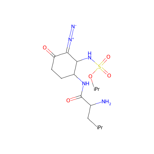 CC(C)CC(N)C(=O)NC1CCC(=O)C(=[N+]=[N-])C1NS(=O)(=O)OC(C)C